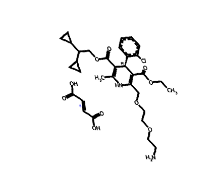 CCOC(=O)C1=C(COCCOCCN)NC(C)=C(C(=O)OCC(C2CC2)C2CC2)[C@H]1c1ccccc1Cl.O=C(O)/C=C/C(=O)O